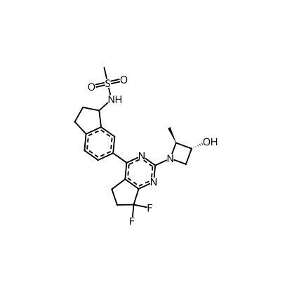 C[C@H]1[C@H](O)CN1c1nc(-c2ccc3c(c2)C(NS(C)(=O)=O)CC3)c2c(n1)C(F)(F)CC2